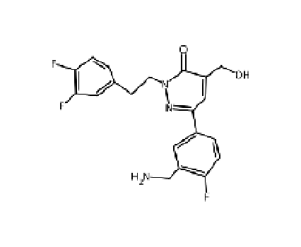 NCc1cc(-c2cc(CO)c(=O)n(CCc3ccc(F)c(F)c3)n2)ccc1F